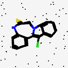 S=C1Cn2c(c(Cl)c3ccccc32)-c2ccccc2N1